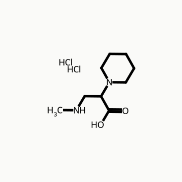 CNCC(C(=O)O)N1CCCCC1.Cl.Cl